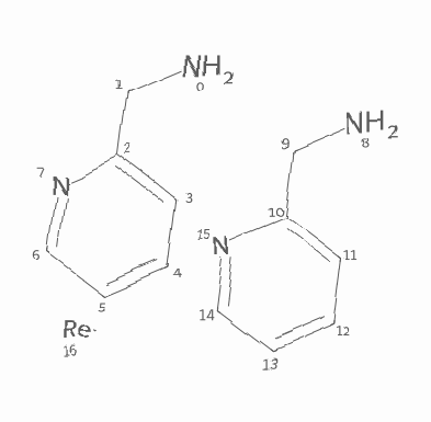 NCc1ccccn1.NCc1ccccn1.[Re]